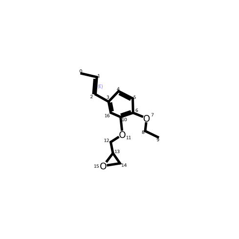 C/C=C/c1ccc(OCC)c(OCC2CO2)c1